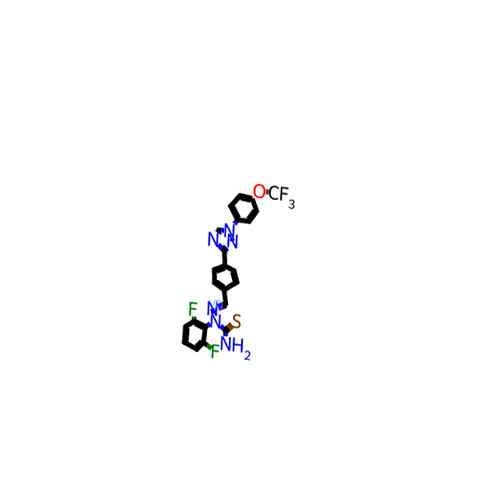 NC(=S)N(/N=C/c1ccc(-c2ncn(-c3ccc(OC(F)(F)F)cc3)n2)cc1)c1c(F)cccc1F